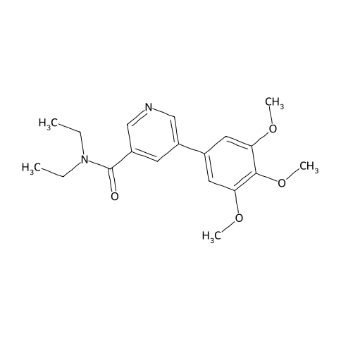 CCN(CC)C(=O)c1cncc(-c2cc(OC)c(OC)c(OC)c2)c1